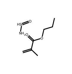 C=C(C)C(=O)OCCC.N[SiH]=O